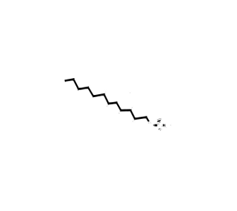 CCCCCCCCCCCCOS(=O)(=O)O.[Rb]